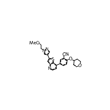 COCCn1cc(-c2cc3nccc(-c4ccc(OC5CCOCC5)c(C#N)c4)c3s2)cn1